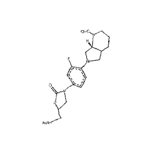 CC(=O)NCC1CN(c2ccc(N3CC4CCCN(C=O)[C@H]4C3)c(F)c2)C(=O)O1